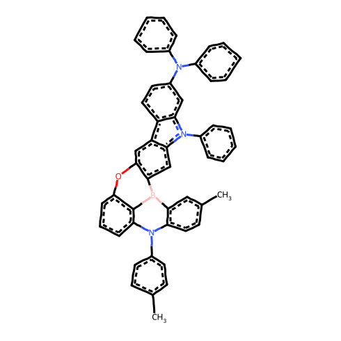 Cc1ccc(N2c3ccc(C)cc3B3c4cc5c(cc4Oc4cccc2c43)c2ccc(N(c3ccccc3)c3ccccc3)cc2n5-c2ccccc2)cc1